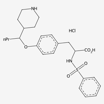 CCCC(Oc1ccc(CC(NS(=O)(=O)c2ccccc2)C(=O)O)cc1)C1CCNCC1.Cl